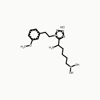 COc1cccc(CCn2nnnc2C(N)CCCCB(O)O)c1.Cl